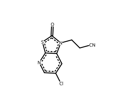 N#CCCn1c(=O)sc2ncc(Cl)cc21